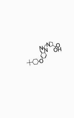 CC(C)(C)C1CCC(Oc2ccc3nc(CN4CCC(C(=O)O)C4)ncc3c2)CC1